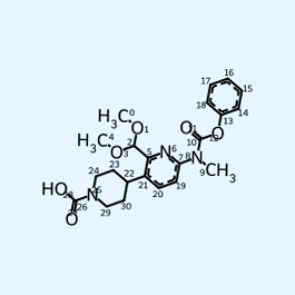 COC(OC)c1nc(N(C)C(=O)Oc2ccccc2)ccc1C1CCN(C(=O)O)CC1